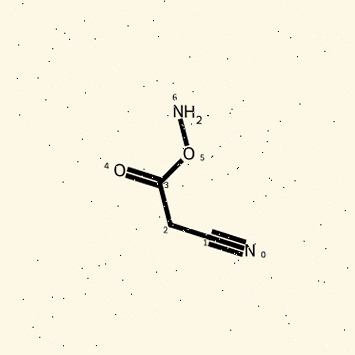 N#CCC(=O)ON